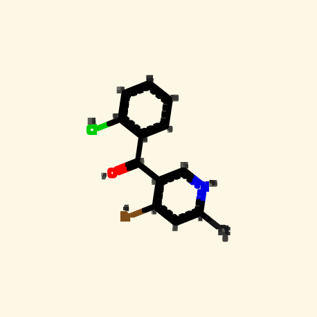 CCc1cc(Br)c(C(=O)c2ccccc2Cl)cn1